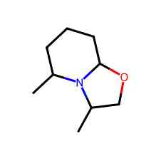 CC1CCCC2OCC(C)N12